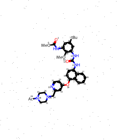 COC(=O)Nc1cc(C(C)(C)C)cc(NC(=O)Nc2ccc(Oc3ccnc(CN4CCN(C(C)=O)CC4)c3)c3ccccc23)c1OC